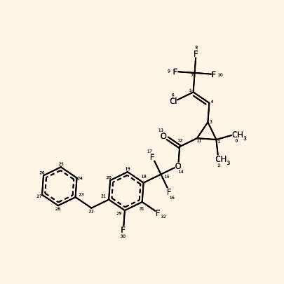 CC1(C)C(C=C(Cl)C(F)(F)F)C1C(=O)OC(F)(F)c1ccc(Cc2ccccc2)c(F)c1F